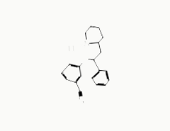 CN1CCCCC1CC(Oc1cccc(C#N)c1)c1ccccc1